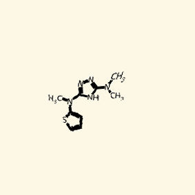 CN(C)c1nnc(N(C)c2cccs2)[nH]1